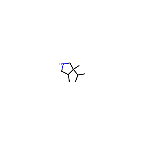 CC(C)C1(C)CNC[C@@H]1C